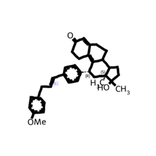 COc1ccc(C/C=C/c2ccc([C@H]3C[C@@]4(C)C(CCC4(C)O)C4CCC5=CC(=O)CCC5=C43)cc2)cc1